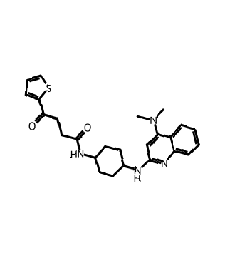 CN(C)c1cc(NC2CCC(NC(=O)CCC(=O)c3cccs3)CC2)nc2ccccc12